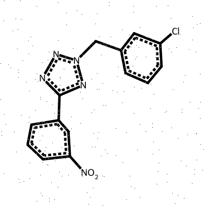 O=[N+]([O-])c1cccc(-c2nnn(Cc3cccc(Cl)c3)n2)c1